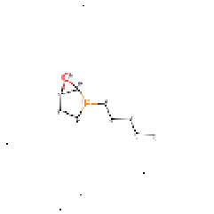 CCCCCP1CCC2OC21